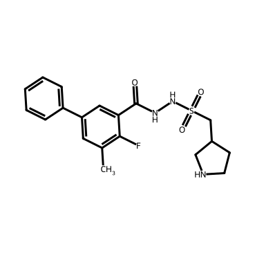 Cc1cc(-c2ccccc2)cc(C(=O)NNS(=O)(=O)CC2CCNC2)c1F